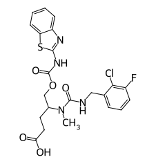 CN(C(=O)NCc1cccc(F)c1Cl)C(CCC(=O)O)COC(=O)Nc1nc2ccccc2s1